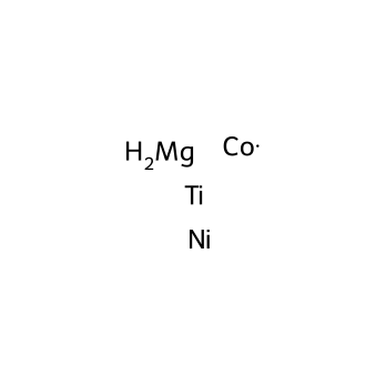 [Co].[MgH2].[Ni].[Ti]